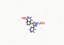 OCCn1cc(-c2cccc3c(O)nccc23)c(-c2ccncc2)n1